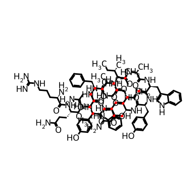 CC[C@H](C)[C@H](NC(=O)[C@H](Cc1c[nH]c2ccccc12)NC(=O)[C@H](Cc1ccccc1)NC(=O)[C@H](Cc1ccc(O)cc1)NC(=O)[C@H](CCC(N)=O)NC(=O)[C@@H](N)CCCNC(=N)N)C(=O)N[C@@H](C)C(=O)N[C@@H](Cc1c[nH]c2ccccc12)C(=O)N[C@@H](Cc1ccc(O)cc1)C(=O)N[C@@H](CCCCN)C(=O)N[C@@H](CC(C)C)C(=O)N[C@@H](C)C(=O)N[C@@H](CC(N)=O)C(=O)N[C@@H](C)C(=O)N[C@@H](CCCCN)C(=O)O